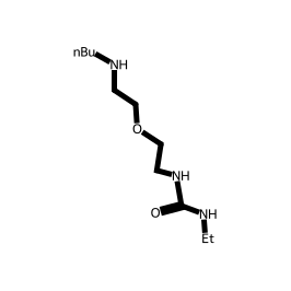 CCCCNCCOCCNC(=O)NCC